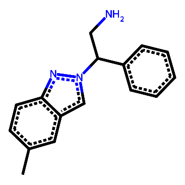 Cc1ccc2nn(C(CN)c3ccccc3)cc2c1